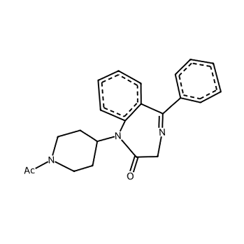 CC(=O)N1CCC(N2C(=O)CN=C(c3ccccc3)c3ccccc32)CC1